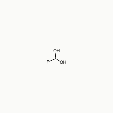 OC(O)F